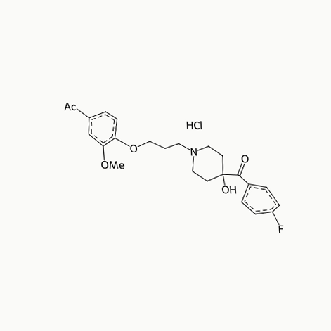 COc1cc(C(C)=O)ccc1OCCCN1CCC(O)(C(=O)c2ccc(F)cc2)CC1.Cl